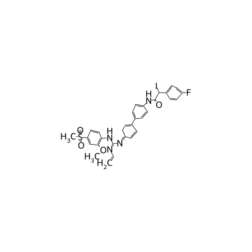 C=C/N=C(\N=C1\C=CC(c2ccc(NC(=O)C(I)c3ccc(F)cc3)cc2)=CC1)Nc1ccc(S(C)(=O)=O)cc1OC